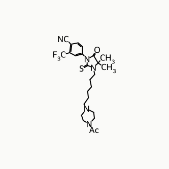 CC(=O)N1CCN(CCCCCCN2C(=S)N(c3ccc(C#N)c(C(F)(F)F)c3)C(=O)C2(C)C)CC1